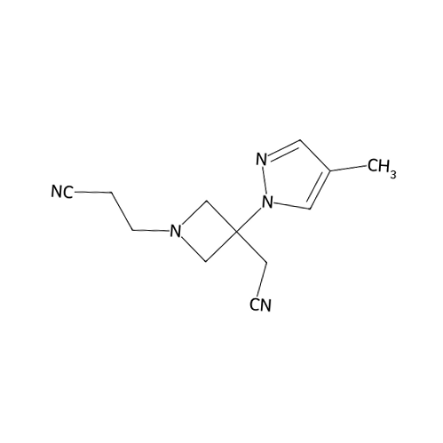 Cc1cnn(C2(CC#N)CN(CCC#N)C2)c1